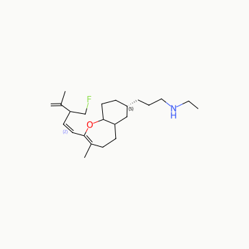 C=C(C)C(/C=C\C1=C(C)CCC2C[C@@H](CCCNCC)CCC2O1)CF